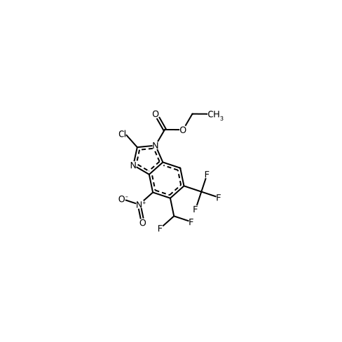 CCOC(=O)n1c(Cl)nc2c([N+](=O)[O-])c(C(F)F)c(C(F)(F)F)cc21